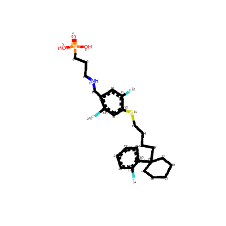 O=P(O)(O)CCCNCc1cc(F)c(SCCCCC2(c3ccccc3F)CCCCC2)cc1F